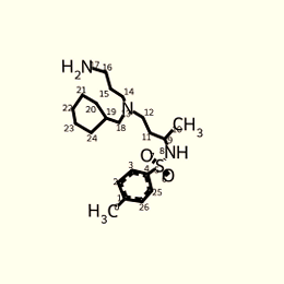 Cc1ccc(S(=O)(=O)NC(C)CCN(CCCN)CC2CCCCC2)cc1